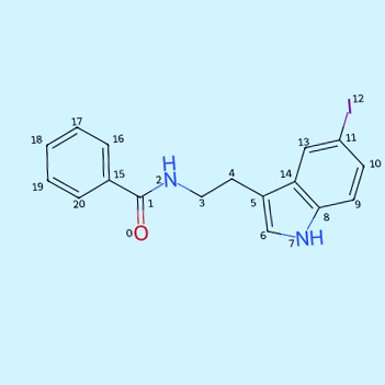 O=C(NCCc1c[nH]c2ccc(I)cc12)c1ccccc1